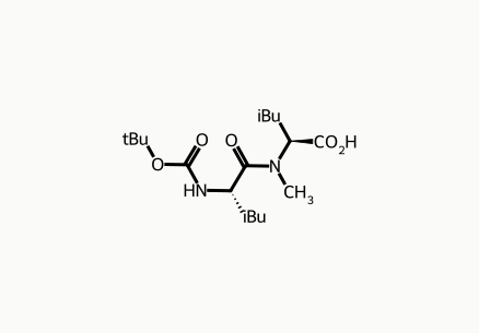 CCC(C)[C@H](NC(=O)OC(C)(C)C)C(=O)N(C)[C@H](C(=O)O)C(C)CC